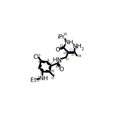 CCNc1cc(Cl)cc(C(=O)NC/C(C(=O)NC(C)C)=C(\C)N)c1C